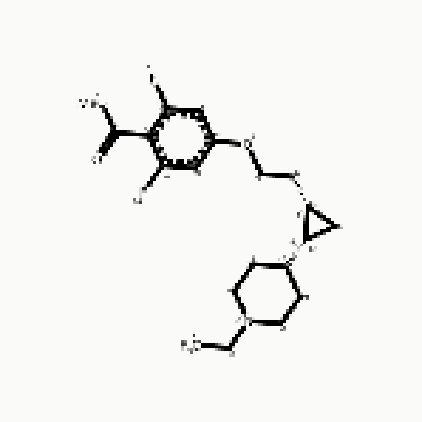 COC(=O)c1c(F)cc(OCC[C@@H]2C[C@@H]2C2CCN(CC(F)(F)F)CC2)cc1F